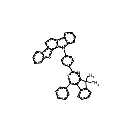 CC1(C)c2ccccc2-c2c(-c3ccccc3)nc(-c3ccc(-n4c5ccccc5c5ccc6c7ccccc7sc6c54)cc3)nc21